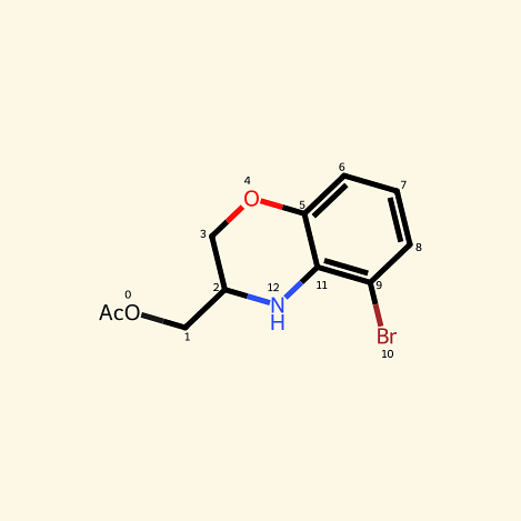 CC(=O)OCC1COc2cccc(Br)c2N1